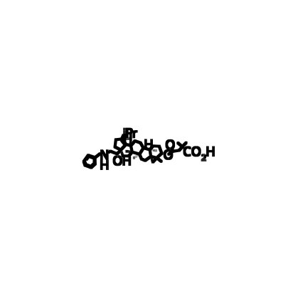 CC(C)C1=C2[C@H]3CC[C@@H]4[C@@]5(C)CC[C@H](OC(=O)CC(C)(C)C(=O)O)C6(C)C[C@]65CC[C@@]4(C)[C@]3(C)CC[C@@]2([C@H](O)CNCc2ccccc2)CC1